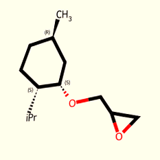 CC(C)[C@@H]1CC[C@@H](C)C[C@@H]1OCC1CO1